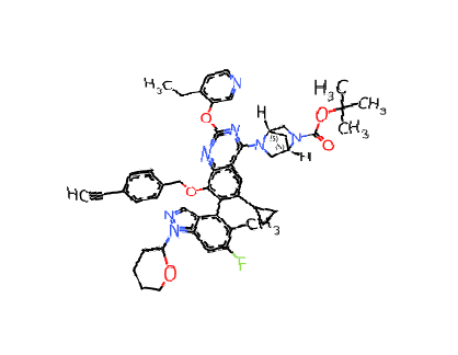 C#Cc1ccc(COc2c(-c3c(C)c(F)cc4c3cnn4C3CCCCO3)c(C3CC3)cc3c(N4C[C@@H]5C[C@H]4CN5C(=O)OC(C)(C)C)nc(Oc4cnccc4CC)nc23)cc1